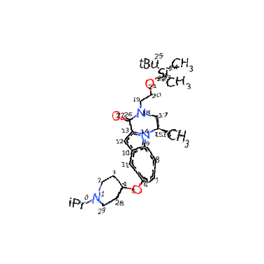 CC(C)N1CCC(Oc2ccc3c(c2)cc2n3[C@H](C)CN(CCO[Si](C)(C)C(C)(C)C)C2=O)CC1